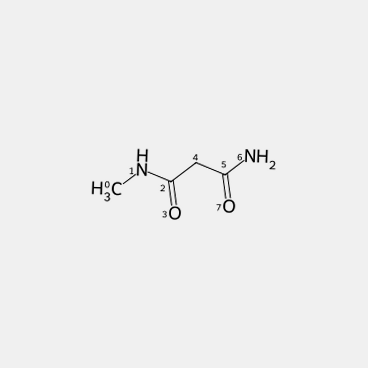 CNC(=O)CC(N)=O